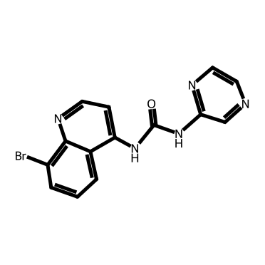 O=C(Nc1cnccn1)Nc1ccnc2c(Br)cccc12